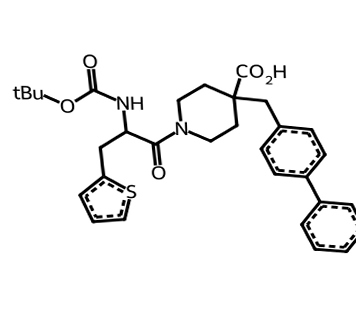 CC(C)(C)OC(=O)NC(Cc1cccs1)C(=O)N1CCC(Cc2ccc(-c3ccccc3)cc2)(C(=O)O)CC1